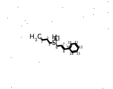 CCCC[SiH](Cl)CC=Cc1ccccc1